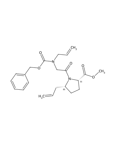 C=CC[C@H]1CC[C@@H](C(=O)OC)N1C(=O)CN(CC=C)C(=O)OCc1ccccc1